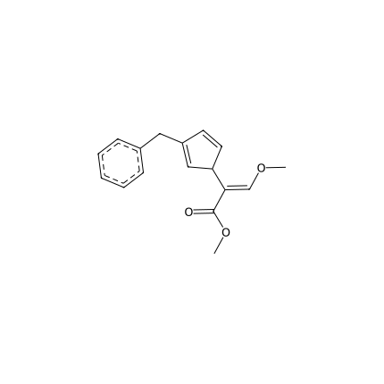 CO/C=C(/C(=O)OC)C1C=CC(Cc2ccccc2)=C1